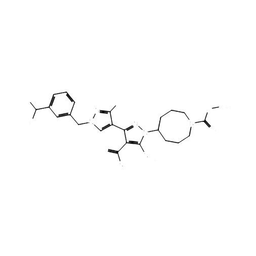 Cc1nn(Cc2cccc(C(F)F)c2)cc1-c1nn(C2CCCN(C(=O)OC(C)(C)C)CCC2)c(N)c1C(N)=O